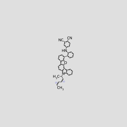 C/C=C\C=C/C(C)n1c2ccccc2c2c3oc4c(-c5ccccc5Nc5ccc(C#N)c(C#N)c5)cccc4c3ccc21